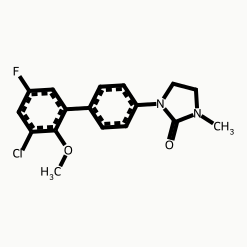 COc1c(Cl)cc(F)cc1-c1ccc(N2CCN(C)C2=O)cc1